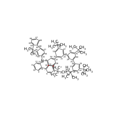 CC(C)(C)c1ccc(-c2ccccc2N(c2cccc(-c3cc(-c4cc(-c5cc(C(C)(C)C)cc(C(C)(C)C)c5)cc(C(C)(C)C)c4)cc(C(C)(C)C)c3)c2)c2ccc3c(c2)C(C)(C)c2ccccc2-3)cc1